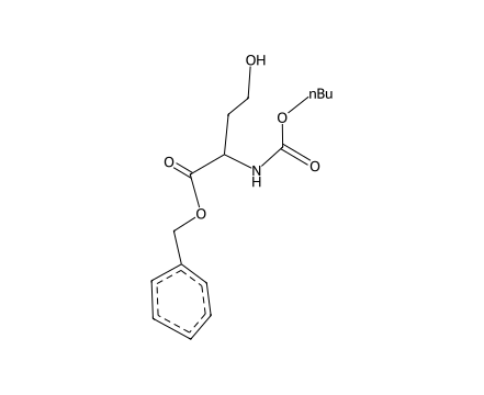 CCCCOC(=O)NC(CCO)C(=O)OCc1ccccc1